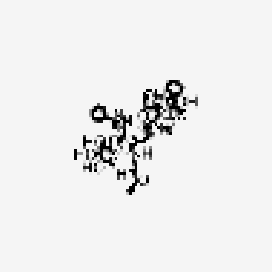 C#CC(=O)NCCNC(=O)C(C[C@H](COC1OC(C)C(O)C(O)C1O)n1cc(-c2ccccc2)nn1)C[C@H](C)O[C@@H]1O[C@@H](CO)C(O)C(O[C@@H](CC2CCCCC2)C(=O)O)C1NC(C)=O